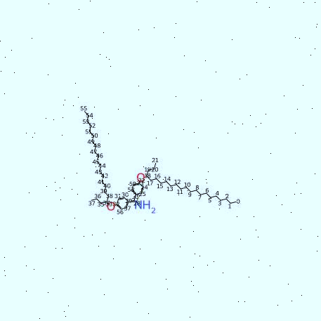 CCCCCCCCCCCCCCCCCCC(CCC)Oc1ccc(C(N)c2ccc(OC(CCC)CCCCCCCCCCCCCCCCCC)cc2)cc1